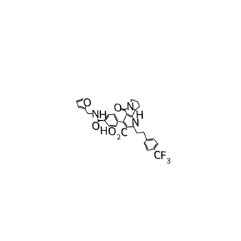 O=C(NCc1ccco1)c1ccc(-c2c(C(=O)O)c(CCc3ccc(C(F)(F)F)cc3)nc3c2C(=O)N2CCC[C@@H]32)cc1